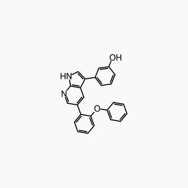 Oc1cccc(-c2c[nH]c3ncc(-c4ccccc4Oc4ccccc4)cc23)c1